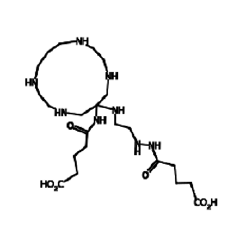 O=C(O)CCCC(=O)NNCCNC1(NC(=O)CCCC(=O)O)CNCCNCCCNCCNC1